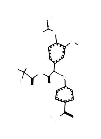 COc1cc(C(Nc2ccc(C(=N)N)cc2)C(=O)OC(=O)C(F)(F)F)ccc1OC(C)C